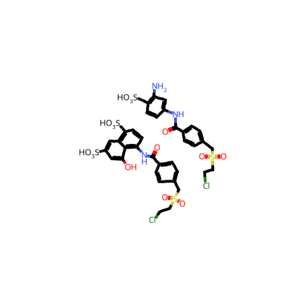 Nc1cc(NC(=O)c2ccc(CS(=O)(=O)CCCl)cc2)ccc1S(=O)(=O)O.O=C(Nc1ccc(S(=O)(=O)O)c2cc(S(=O)(=O)O)cc(O)c12)c1ccc(CS(=O)(=O)CCCl)cc1